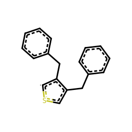 [c]1scc(Cc2ccccc2)c1Cc1ccccc1